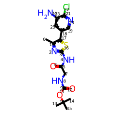 Cc1nc(NC(=O)CNC(=O)OC(C)(C)C)sc1-c1cnc(Cl)c(N)c1